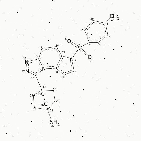 Cc1ccc(S(=O)(=O)n2ccc3c2ccc2nnc(C45CCC(N)(CC4)CC5)n23)cc1